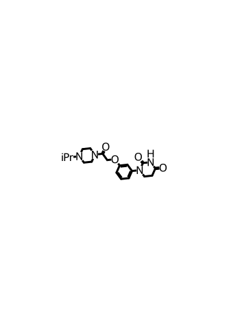 CC(C)N1CCN(C(=O)COc2cccc(N3CCC(=O)NC3=O)c2)CC1